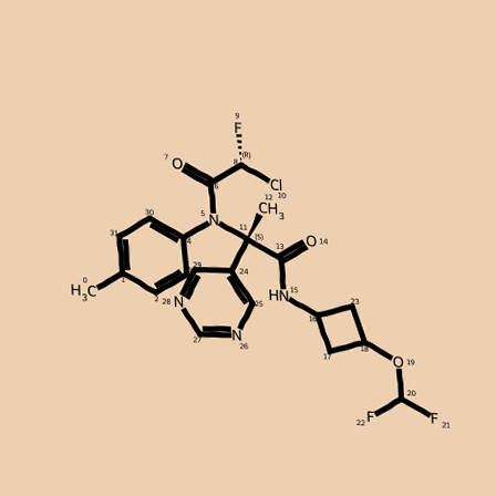 Cc1ccc(N(C(=O)[C@H](F)Cl)[C@](C)(C(=O)NC2CC(OC(F)F)C2)c2cncnc2)cc1